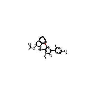 CCc1nc(-c2ccc(OC)nc2C)c(=O)n(CC)c1N[C@H]1c2ccccc2C[C@@H]1OC(C)=O